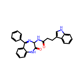 O=C(CCc1c[nH]c2ccccc12)NC1N=C(c2ccccc2)c2ccccc2NC1=O